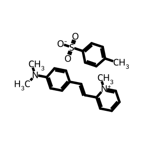 CN(C)c1ccc(C=Cc2cccc[n+]2C)cc1.Cc1ccc(S(=O)(=O)[O-])cc1